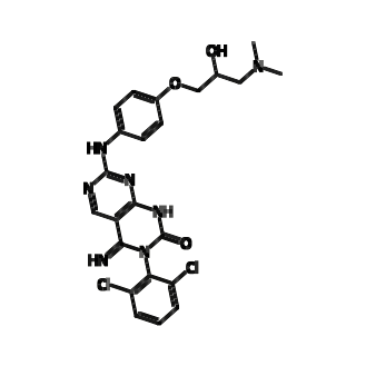 CN(C)CC(O)COc1ccc(Nc2ncc3c(=N)n(-c4c(Cl)cccc4Cl)c(=O)[nH]c3n2)cc1